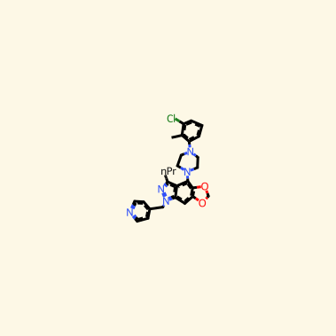 CCCc1nn(Cc2ccncc2)c2cc3c(c(N4CCN(c5cccc(Cl)c5C)CC4)c12)OCO3